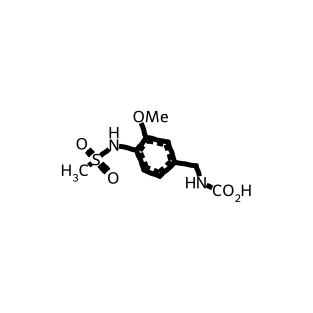 COc1cc(CNC(=O)O)ccc1NS(C)(=O)=O